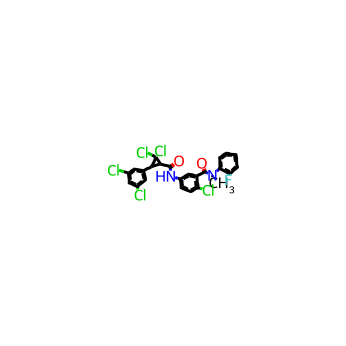 CN(C(=O)c1cc(NC(=O)C2C(c3cc(Cl)cc(Cl)c3)C2(Cl)Cl)ccc1Cl)c1ccccc1F